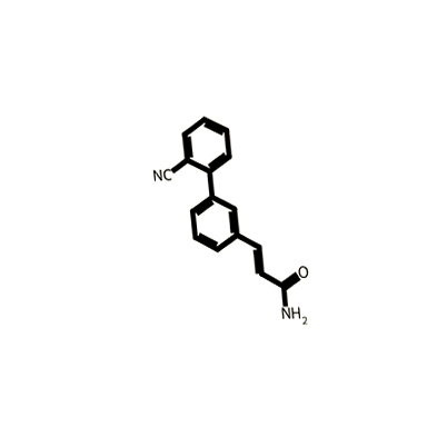 N#Cc1ccccc1-c1cccc(C=CC(N)=O)c1